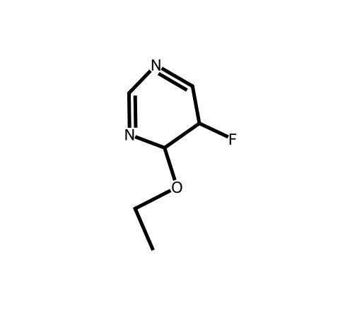 CCOC1N=CN=CC1F